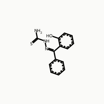 NC(=S)NN=C(c1ccccc1)c1ccccc1O